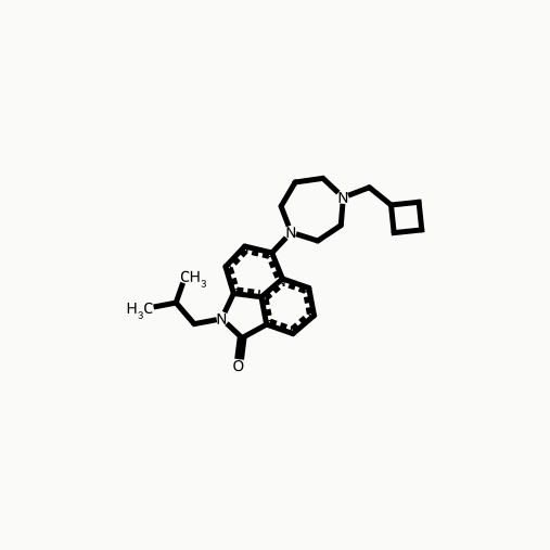 CC(C)CN1C(=O)c2cccc3c(N4CCCN(CC5CCC5)CC4)ccc1c23